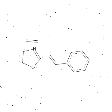 C1=NCCO1.C=C.C=Cc1ccccc1